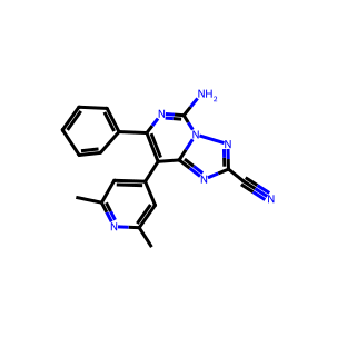 Cc1cc(-c2c(-c3ccccc3)nc(N)n3nc(C#N)nc23)cc(C)n1